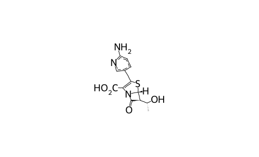 C[C@@H](O)[C@H]1C(=O)N2C(C(=O)O)=C(c3ccc(N)nc3)S[C@H]12